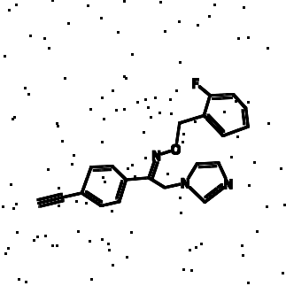 C#Cc1ccc(/C(Cn2ccnc2)=N/OCc2ccccc2F)cc1